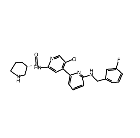 O=C(Nc1cc(-c2cccc(NCc3cccc(F)c3)n2)c(Cl)cn1)[C@H]1CCCNC1